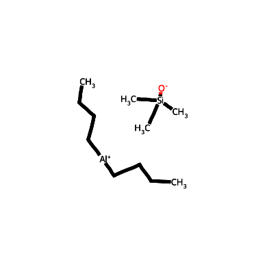 CCC[CH2][Al+][CH2]CCC.C[Si](C)(C)[O-]